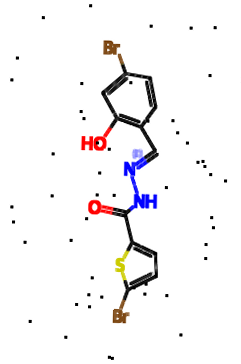 O=C(N/N=C/c1ccc(Br)cc1O)c1ccc(Br)s1